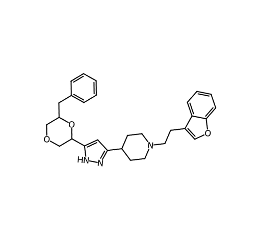 c1ccc(CC2COCC(c3cc(C4CCN(CCc5coc6ccccc56)CC4)n[nH]3)O2)cc1